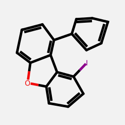 Ic1cccc2oc3cccc(-c4ccccc4)c3c12